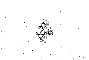 CC1NC(C)N(CCN2C(=S)SC(C)NC2C)C(=S)S1.c1nnn[nH]1